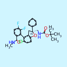 CNC(=O)c1ccc(F)c(F)c1-c1c(Cl)ccc2c1C[C@@](CNC(=O)OC(C)(C)C)(c1ccccc1)O2